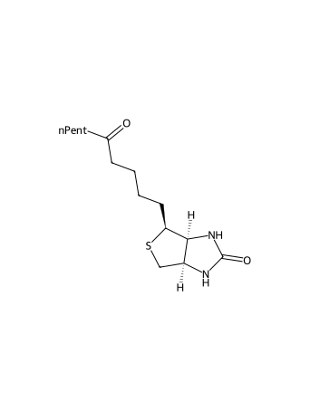 [CH2]CCCCC(=O)CCCC[C@@H]1SC[C@@H]2NC(=O)N[C@@H]21